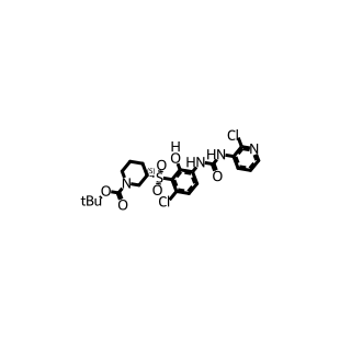 CC(C)(C)OC(=O)N1CCC[C@H](S(=O)(=O)c2c(Cl)ccc(NC(=O)Nc3cccnc3Cl)c2O)C1